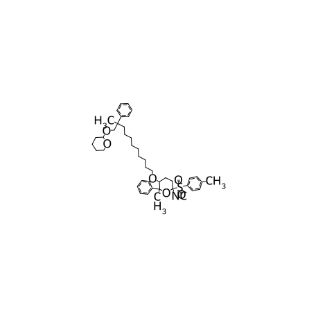 [C-]#[N+]C1(S(=O)(=O)c2ccc(C)cc2)CCC(OCCCCCCCCCC(C)(COC2CCCCO2)c2ccccc2)C(C)(c2ccccc2)O1